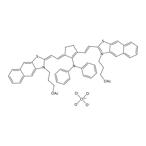 CC(=O)OCCCN1C(=CC=C2CCC(C=Cc3sc4cc5ccccc5cc4[n+]3CCCOC(C)=O)=C2N(c2ccccc2)c2ccccc2)Sc2cc3ccccc3cc21.[O-][Cl+3]([O-])([O-])[O-]